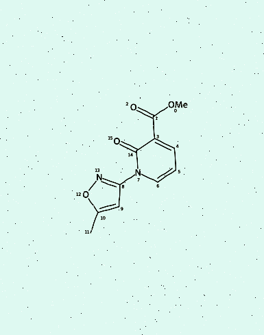 COC(=O)c1cccn(-c2cc(C)on2)c1=O